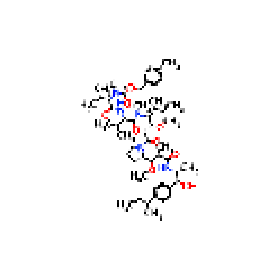 CCC(C)c1ccc([C@H](O)[C@@H](C)NC(=O)[C@H](C)[C@@H](OC)[C@@H]2CCCN2C(=O)C[C@@H](OC)[C@H]([C@@H](C)CC)N(C)C(=O)[C@@H](NC(=O)[C@H](C(C)C)N(C)C(=O)OCc2ccc(C)cc2)C(C)C)cc1